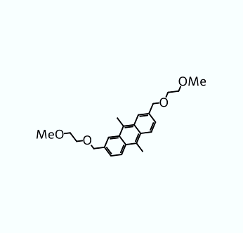 COCCOCc1ccc2c(C)c3ccc(COCCOC)cc3c(C)c2c1